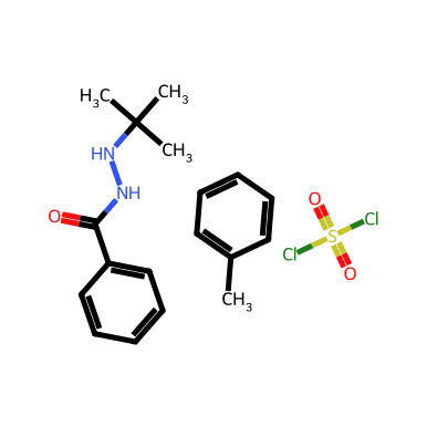 CC(C)(C)NNC(=O)c1ccccc1.Cc1ccccc1.O=S(=O)(Cl)Cl